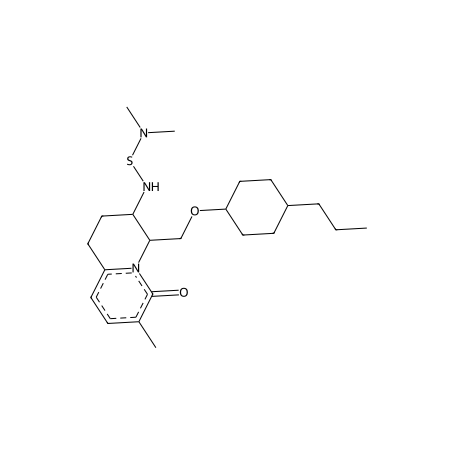 CCCC1CCC(OCC2C(NSN(C)C)CCc3ccc(C)c(=O)n32)CC1